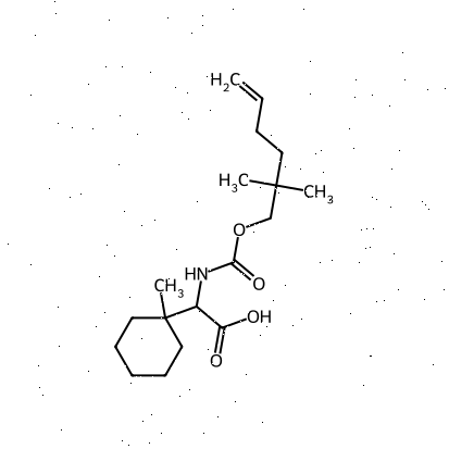 C=CCCC(C)(C)COC(=O)NC(C(=O)O)C1(C)CCCCC1